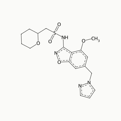 COc1cc(Cn2cccn2)cc2onc(NS(=O)(=O)CC3CCCCO3)c12